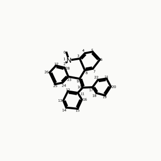 CN(C)c1ccccc1C(=C(c1ccccc1)c1ccccc1)c1ccccc1